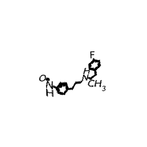 CC(Cc1ccc(F)cc1)NCCCc1ccc(NC=O)cc1